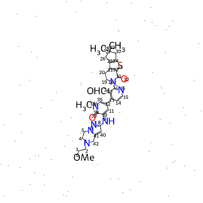 COCCN1CCn2nc(Nc3cc(-c4ccnc(N5CCc6c(sc7c6CC(C)(C)C7)C5=O)c4C=O)cn(C)c3=O)cc2C1